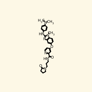 CN(C)c1ccc(Nc2nc3cc(Oc4ccnc(C(=O)NCCCN5CCCC5=O)c4)ccc3n2C)cc1